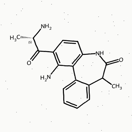 CC1C(=O)Nc2ccc(C(=O)[C@H](C)N)c(N)c2-c2ccccc21